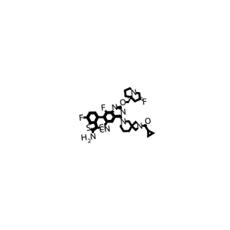 N#Cc1c(N)sc2c(F)ccc(-c3c(Cl)cc4c(N5CCCC6(CN(C(=O)C7CC7)C6)C5)nc(OC[C@@]56CCCN5C[C@H](F)C6)nc4c3F)c12